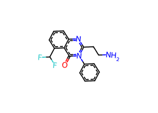 NCCc1nc2cccc(C(F)F)c2c(=O)n1-c1ccccc1